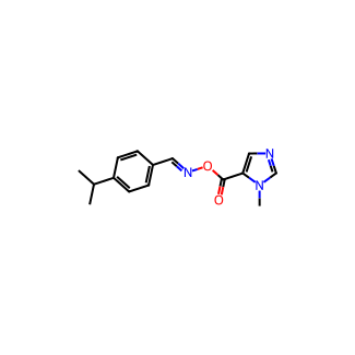 CC(C)c1ccc(C=NOC(=O)c2cncn2C)cc1